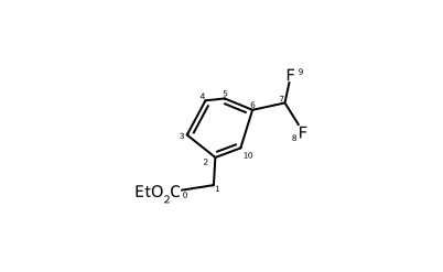 CCOC(=O)Cc1cccc(C(F)F)c1